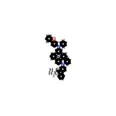 CC1(C)c2ccccc2-c2ccc(N(c3ccccc3)c3cccc([Si](c4ccccc4)(c4ccccc4)c4ccc(N(c5ccccc5)c5ccc6c(c5)oc5ccccc56)cc4)c3)cc21